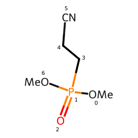 COP(=O)(CCC#N)OC